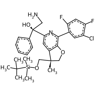 CC(C)(C)[Si](C)(C)OC[C@@]1(C)COc2c1cc([C@@](O)(CN)c1ccccc1)nc2-c1cc(Cl)c(F)cc1F